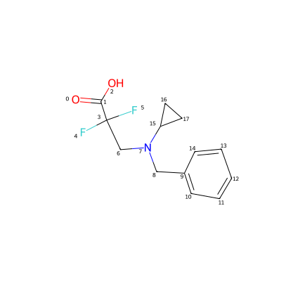 O=C(O)C(F)(F)CN(Cc1ccccc1)C1CC1